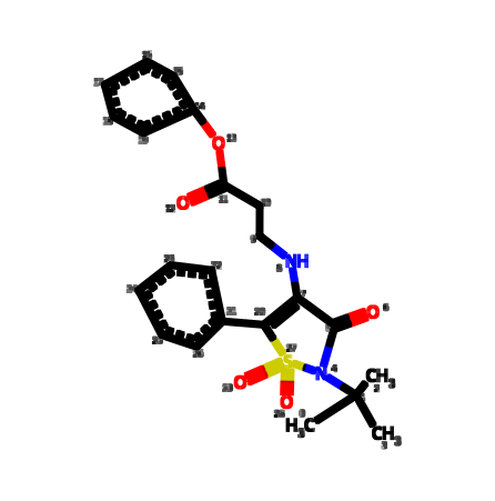 CC(C)(C)N1C(=O)C(NCCC(=O)Oc2ccccc2)=C(c2ccccc2)S1(=O)=O